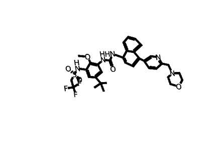 COc1c(NC(=O)Nc2ccc(-c3ccc(CN4CCOCC4)nc3)c3ccccc23)cc(C(C)(C)C)cc1NS(=O)(=O)CC(F)(F)F